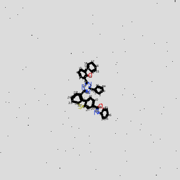 c1ccc(-c2nc(-c3cccc4c3oc3ccccc34)nc(-c3cccc4sc5cc(-c6nc7ccccc7o6)ccc5c34)n2)cc1